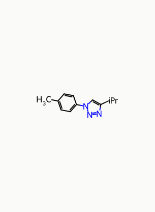 Cc1ccc(-n2cc(C(C)C)nn2)cc1